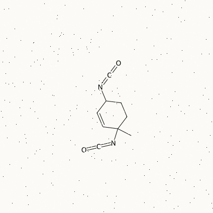 CC1(N=C=O)C=CC(N=C=O)CC1